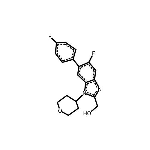 OCc1nc2cc(F)c(-c3ccc(F)cc3)cc2n1C1CCOCC1